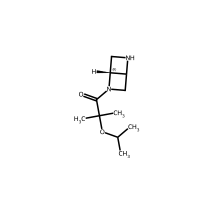 CC(C)OC(C)(C)C(=O)N1CC2NC[C@H]21